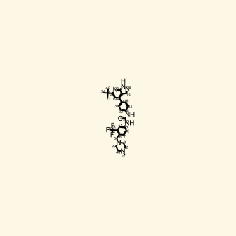 CN1CCN(Cc2ccc(NC(=O)Nc3ccc(-c4cc(C(C)(C)C)nc5[nH]ncc45)cc3)cc2C(F)(F)F)CC1